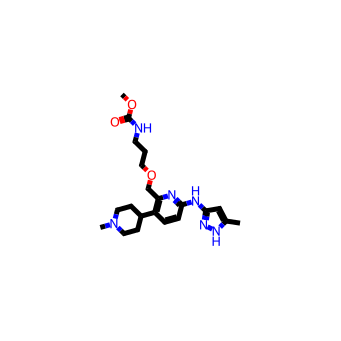 COC(=O)NCCCOCc1nc(Nc2cc(C)[nH]n2)ccc1C1CCN(C)CC1